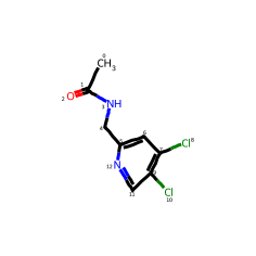 CC(=O)NCc1cc(Cl)c(Cl)cn1